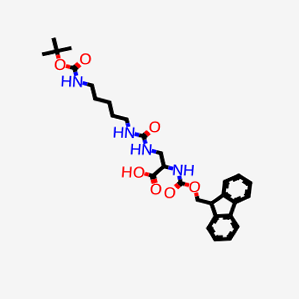 CC(C)(C)OC(=O)NCCCCCNC(=O)NCC(NC(=O)OCC1c2ccccc2-c2ccccc21)C(=O)O